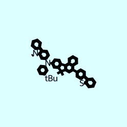 Cn1c2ccccc2c2ccc(N(c3cccc(C(C)(C)C)c3)c3ccc4c(c3)C(C)(C)c3cc(-c5ccc6c(c5)sc5ccccc56)c5ccccc5c3-4)cc21